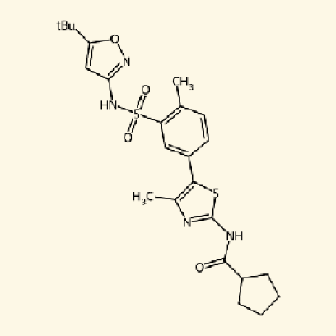 Cc1ccc(-c2sc(NC(=O)C3CCCC3)nc2C)cc1S(=O)(=O)Nc1cc(C(C)(C)C)on1